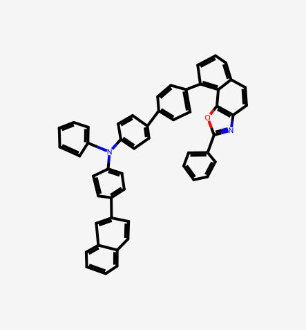 c1ccc(-c2nc3ccc4cccc(-c5ccc(-c6ccc(N(c7ccccc7)c7ccc(-c8ccc9ccccc9c8)cc7)cc6)cc5)c4c3o2)cc1